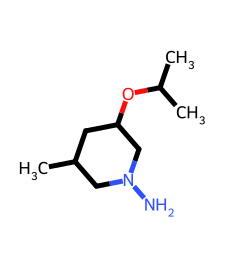 CC1CC(OC(C)C)CN(N)C1